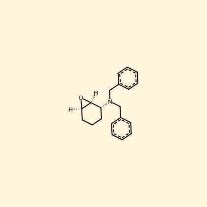 c1ccc(CN(Cc2ccccc2)[C@@H]2CCC[C@H]3O[C@@H]23)cc1